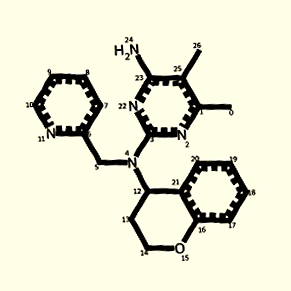 Cc1nc(N(Cc2ccccn2)C2CCOc3ccccc32)nc(N)c1C